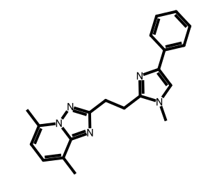 Cc1ccc(C)n2nc(CCc3nc(-c4ccccc4)cn3C)nc12